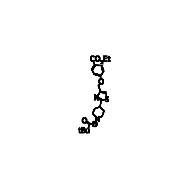 CCOC(=O)c1ccc(OCc2csc(C3CCN(OC(=O)C(C)(C)C)CC3)n2)cc1